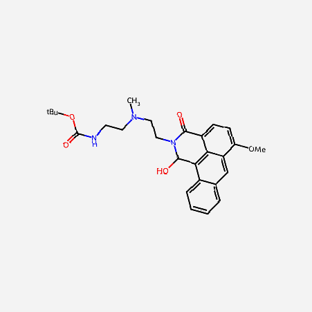 COc1ccc2c3c(c4ccccc4cc13)C(O)N(CCN(C)CCNC(=O)OC(C)(C)C)C2=O